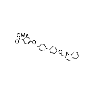 COC(=O)c1ccc(OCc2ccc(-c3ccc(OCc4ccc5ccccc5n4)cc3)cc2)cc1